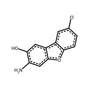 Nc1cc2oc3ccc(Cl)cc3c2cc1O